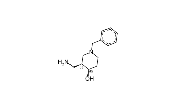 NC[C@H]1CN(Cc2ccccc2)CC[C@H]1O